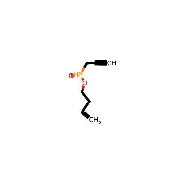 C#CC[PH](=O)OCCC=C